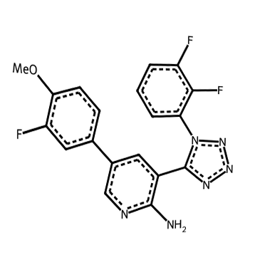 COc1ccc(-c2cnc(N)c(-c3nnnn3-c3cccc(F)c3F)c2)cc1F